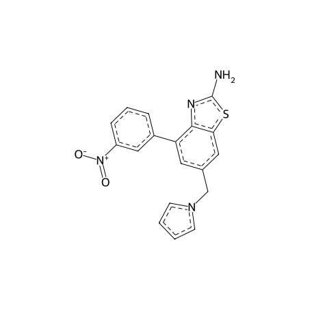 Nc1nc2c(-c3cccc([N+](=O)[O-])c3)cc(Cn3cccc3)cc2s1